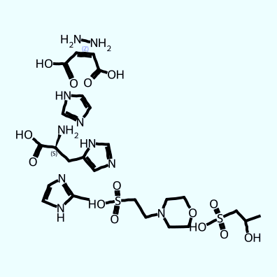 CC(O)CS(=O)(=O)O.Cc1ncc[nH]1.NN.N[C@@H](Cc1cnc[nH]1)C(=O)O.O=C(O)/C=C\C(=O)O.O=S(=O)(O)CCN1CCOCC1.c1c[nH]cn1